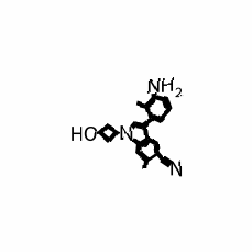 Cc1cc2c(cc1C#N)c(-c1cccc(N)c1C)cn2[C@H]1C[C@H](O)C1